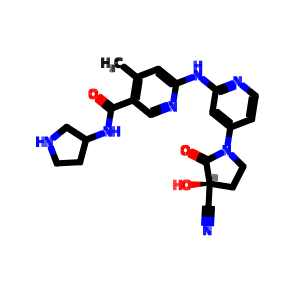 Cc1cc(Nc2cc(N3CC[C@](O)(C#N)C3=O)ccn2)ncc1C(=O)NC1CCNC1